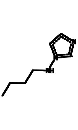 CCCCNn1[c]ncc1